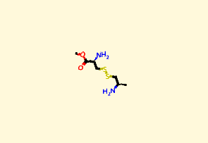 COC(=O)[C@@H](N)CSSC[C@@H](C)N